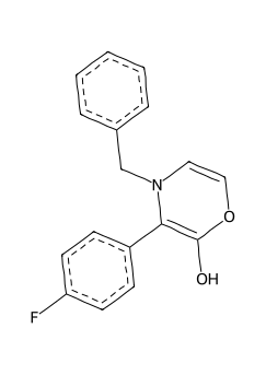 OC1=C(c2ccc(F)cc2)N(Cc2ccccc2)C=CO1